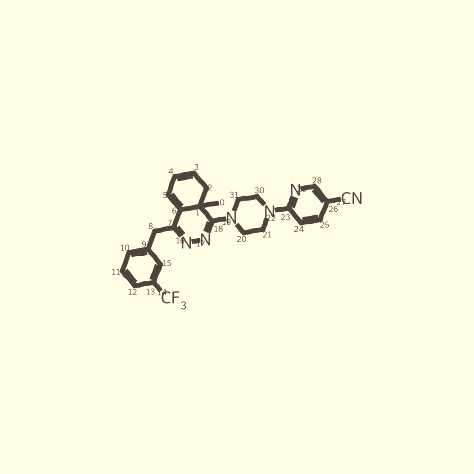 CC12CC=CC=C1C(Cc1cccc(C(F)(F)F)c1)=NN=C2N1CCN(c2ccc(C#N)cn2)CC1